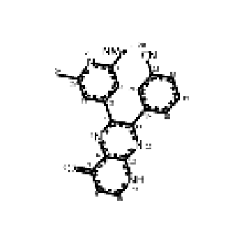 CNc1cc(-c2nc3c(=O)cc[nH]c3nc2-c2cccc(C#N)c2)cc(C)n1